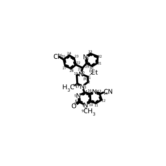 CC[C@@H]1CN(c2nc(=O)n(C)c3ccc(C#N)nc23)[C@@H](C)CN1C(c1ccc(Cl)cc1)c1ccccn1